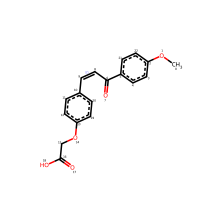 COc1ccc(C(=O)/C=C\c2ccc(OCC(=O)O)cc2)cc1